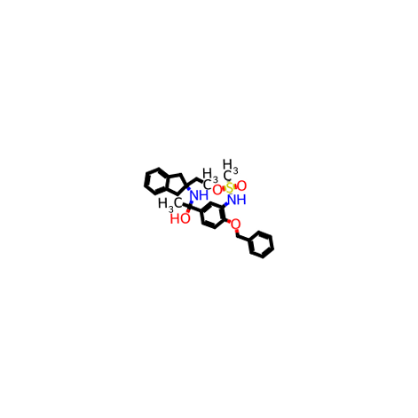 CCC1(NC(C)(O)c2ccc(OCc3ccccc3)c(NS(C)(=O)=O)c2)Cc2ccccc2C1